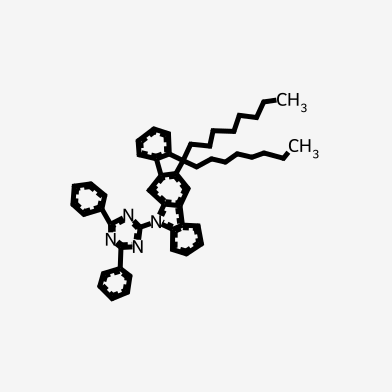 CCCCCCCCC1(CCCCCCCC)c2ccccc2-c2cc3c(cc21)c1ccccc1n3-c1nc(-c2ccccc2)nc(-c2ccccc2)n1